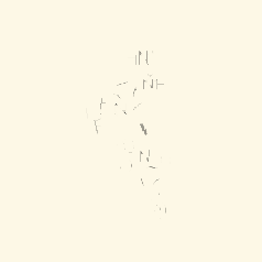 COc1cc(P(C)(C)=O)ccc1N(CC#Cc1cc2c(N[C@H]3CCC(C)(C)NC3)cccc2n1CC(F)(F)F)C(=O)OC(C)(C)C